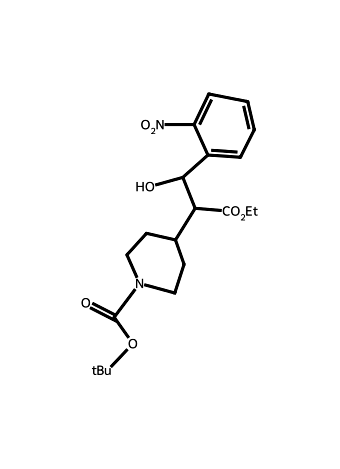 CCOC(=O)C(C1CCN(C(=O)OC(C)(C)C)CC1)C(O)c1ccccc1[N+](=O)[O-]